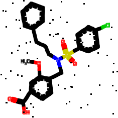 COc1cc(C(=O)O)ccc1CN(CCCc1ccccc1)S(=O)(=O)c1ccc(Cl)cc1